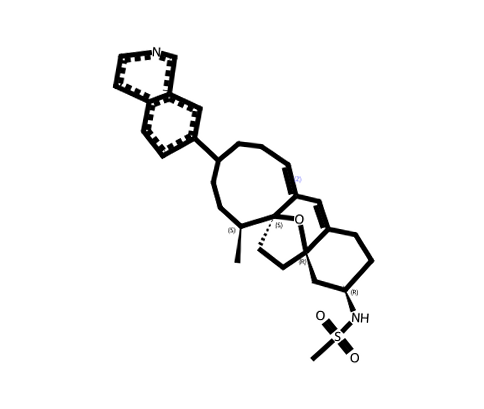 C[C@H]1CCC(c2ccc3ccncc3c2)CC/C=C2/C=C3CC[C@@H](NS(C)(=O)=O)C[C@]34CC[C@@]21O4